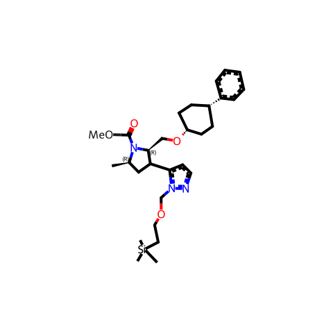 COC(=O)N1[C@H](C)CC(c2ccnn2COCC[Si](C)(C)C)[C@@H]1CO[C@H]1CC[C@@H](c2ccccc2)CC1